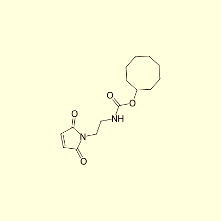 O=C(NCCN1C(=O)C=CC1=O)OC1CCCCCCC1